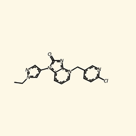 CCn1cc(-n2c3cccn(Cc4ccc(Cl)nc4)c-3nc2=O)cn1